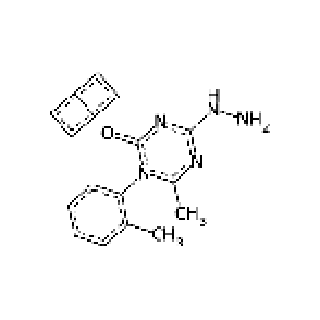 Cc1ccccc1-n1c(C)nc(NN)nc1=O.c1cc2ccc1-2